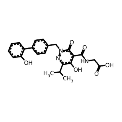 CC(C)c1nn(Cc2ccc(-c3ccccc3O)cc2)c(=O)c(C(=O)NCC(=O)O)c1O